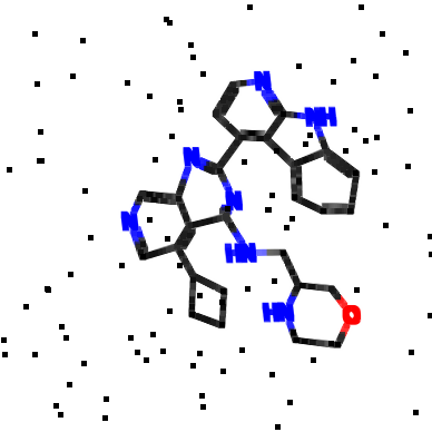 c1ccc2c(c1)[nH]c1nccc(-c3nc(NCC4COCCN4)c4c(C5CCC5)cncc4n3)c12